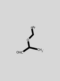 [CH2]C(C=O)OCCCC